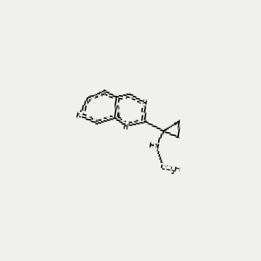 O=C(O)NC1(c2ncc3ccncc3n2)CC1